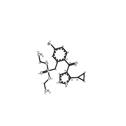 CCOP(=O)(Cc1cc(Br)ccc1C(=O)c1cnoc1C1CC1)OCC